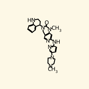 CN1CCN(c2ccc(Nc3cc4c(cn3)CN(C3CCNc5ccccc53)C(=O)N4C)nc2)CC1